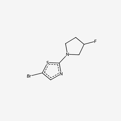 FC1CCN(c2ncc(Br)s2)C1